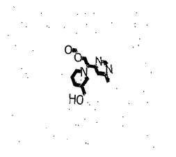 Cc1cc(C(COC=O)N2CCCC(CO)C2)ncn1